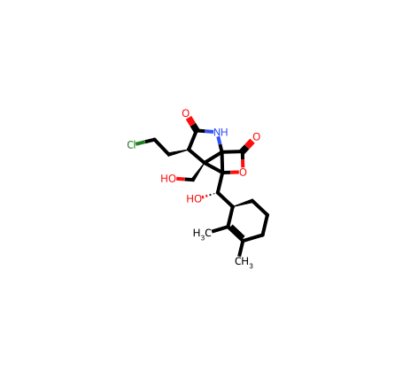 CC1=C(C)[C@@H]([C@H](O)C23OC(=O)C24NC(=O)[C@H](CCCl)[C@]43CO)CCC1